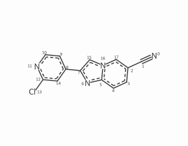 N#Cc1ccc2nc(-c3ccnc(Cl)c3)cn2c1